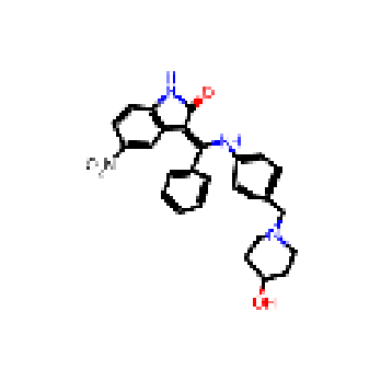 O=C1Nc2ccc([N+](=O)[O-])cc2/C1=C(/Nc1ccc(CN2CCC(O)CC2)cc1)c1ccccc1